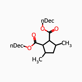 CCCCCCCCCCOC(=O)C1C(C)CC(C)C1C(=O)OCCCCCCCCCC